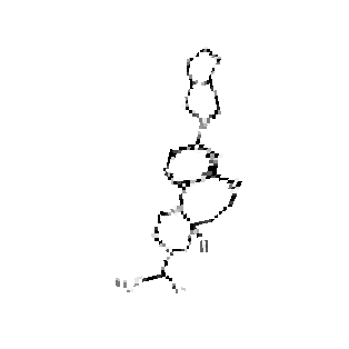 CC(C)N1CCN2c3ncc(N4CC5CCCC5C4)cc3OCC[C@@H]2C1